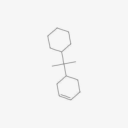 CC(C)(C1CC=CCC1)C1CCCCC1